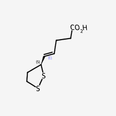 O=C(O)CC/C=C/[C@@H]1CCSS1